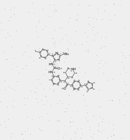 Cc1ccc(-n2nc(C(C)(C)C)cc2NC(=O)Nc2cccc(C(C(=O)c3ccc(-c4cccs4)cc3)C3CCNCC3)c2)cc1